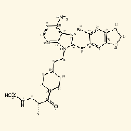 C[C@H](CNC(=O)O)C(=O)N1CCC(CCn2c(Sc3cc4c(cc3Br)OCO4)nc3c(N)ncnc32)CC1